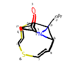 CCCN1C(=O)C2=C3SC=CC1CC(C2)S3